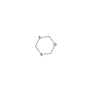 C1OCSCS1